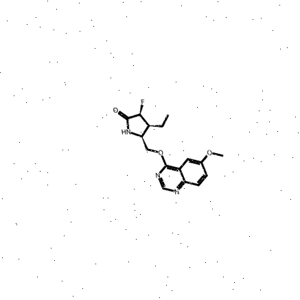 CC[C@@H]1[C@H](F)C(=O)N[C@@H]1COc1ncnc2ccc(OC)cc12